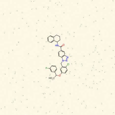 O=C(NC1CCCc2ccccc21)c1ccc2c(c1)nnn2Cc1cc(OC(C(=O)O)c2cccc(F)c2)ccc1Cl